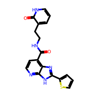 O=C(NCCc1ccc[nH]c1=O)c1ccnc2[nH]c(-c3cccs3)nc12